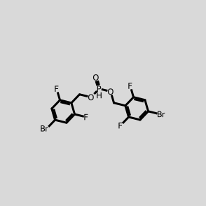 O=[PH](OCc1c(F)cc(Br)cc1F)OCc1c(F)cc(Br)cc1F